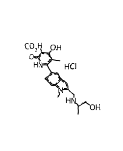 Cc1c(-c2ccc3c(c2)cc(CNC(C)CO)n3C)[nH]c(=O)c(C(=O)O)c1O.Cl